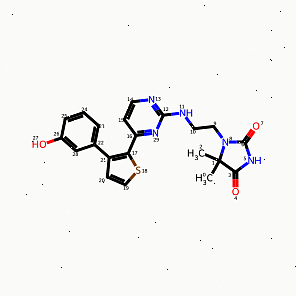 CC1(C)C(=O)NC(=O)N1CCNc1nccc(-c2sccc2-c2cccc(O)c2)n1